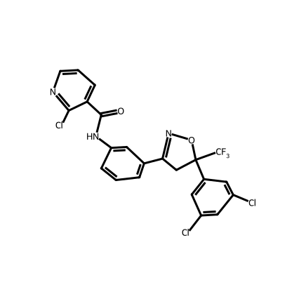 O=C(Nc1cccc(C2=NOC(c3cc(Cl)cc(Cl)c3)(C(F)(F)F)C2)c1)c1cccnc1Cl